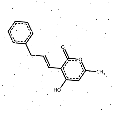 Cc1cc(O)c(C=CCc2ccccc2)c(=O)o1